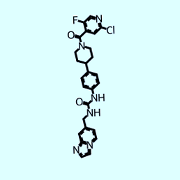 O=C(NCc1ccn2ccnc2c1)Nc1ccc(C2CCN(C(=O)c3cc(Cl)ncc3F)CC2)cc1